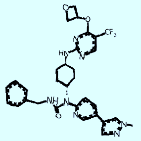 Cn1cc(-c2ccc(N(C(=O)NCc3ccccc3)[C@H]3CC[C@H](Nc4ncc(C(F)(F)F)c(OC5COC5)n4)CC3)nc2)cn1